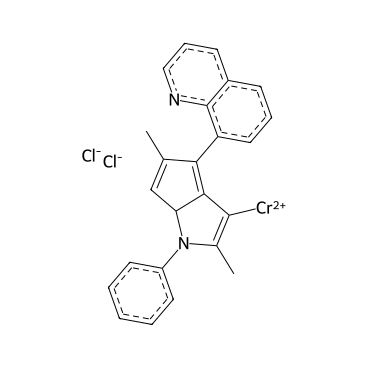 CC1=CC2C(=C1c1cccc3cccnc13)[C]([Cr+2])=C(C)N2c1ccccc1.[Cl-].[Cl-]